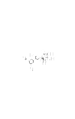 CN1C(=N)N[C@](C)(c2cc(-c3cc(C#N)cc(C#N)c3)c(Br)s2)CC1=O